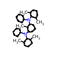 Cc1cccc(C)c1N(c1ccccc1)c1cccc(N(c2ccccc2)c2c(C)cccc2C)c1C